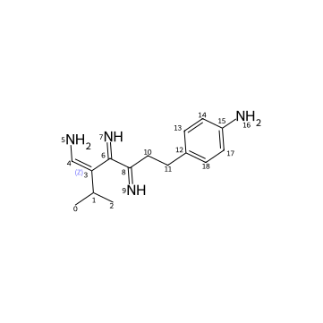 CC(C)/C(=C/N)C(=N)C(=N)CCc1ccc(N)cc1